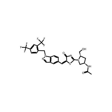 CC(=O)N[C@@H]1C[C@H](CO)N(C2=NC(=O)/C(=C\c3ccc4c(cnn4Cc4ccc(C(F)(F)F)cc4C(F)(F)F)c3)S2)C1